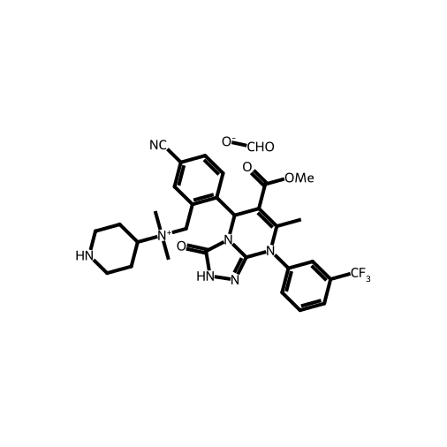 COC(=O)C1=C(C)N(c2cccc(C(F)(F)F)c2)c2n[nH]c(=O)n2C1c1ccc(C#N)cc1C[N+](C)(C)C1CCNCC1.O=C[O-]